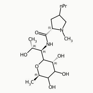 CCCC1C[C@@H](C(=O)N[C@@H](C2O[C@H](C)C(O)C(O)[C@H]2O)[C@@H](C)O)N(C)C1